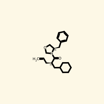 C=CC[C@H](CC1CCCCC1)C(=O)N1COC[C@H]1Cc1ccccc1